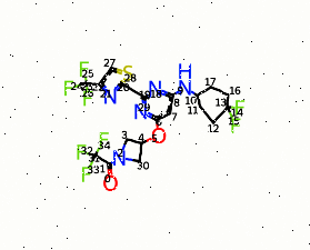 O=C(N1CC(Oc2cc(NC3CCC(F)(F)CC3)nc(-c3nc(C(F)(F)F)cs3)n2)C1)C(F)(F)F